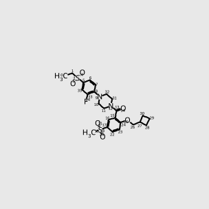 CCS(=O)(=O)c1ccc(N2CCN(C(=O)c3cc(S(C)(=O)=O)ccc3OCC3CCC3)CC2)c(F)c1